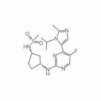 Cc1ncc(-c2nc(N[C@H]3CC[C@@H](NS(C)(=O)=O)C3)ncc2F)n1C(C)C